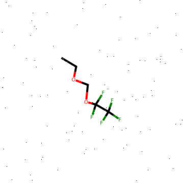 CCOCOC(F)(F)C(F)(F)F